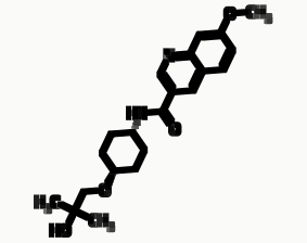 COc1ccc2cc(C(=O)N[C@H]3CC[C@H](OCC(C)(C)O)CC3)cnc2c1